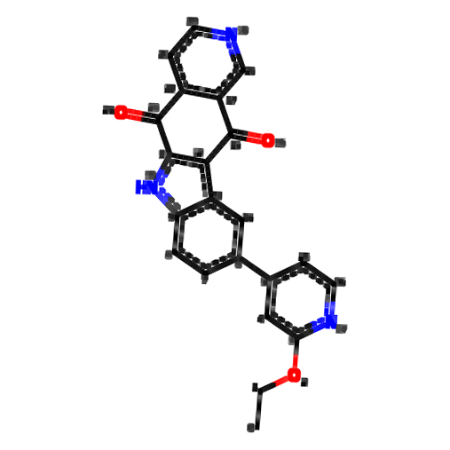 CCOc1cc(-c2ccc3[nH]c4c(c3c2)C(=O)c2cnccc2C4=O)ccn1